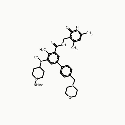 CCN(c1cc(-c2ccc(CN3CCOCC3)cc2)cc(C(=O)NCc2c(C)cc(C)[nH]c2=O)c1C)C1CCN(NC(C)=O)CC1